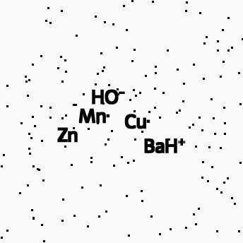 [BaH+].[Cu].[Mn].[OH-].[Zn]